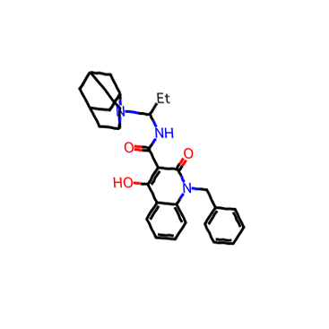 CCC(NC(=O)c1c(O)c2ccccc2n(Cc2ccccc2)c1=O)N1C2CC3CC(C2)CC1C3